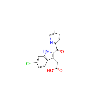 Cc1ccc(C(=O)c2[nH]c3cc(Cl)ccc3c2CC(=O)O)nc1